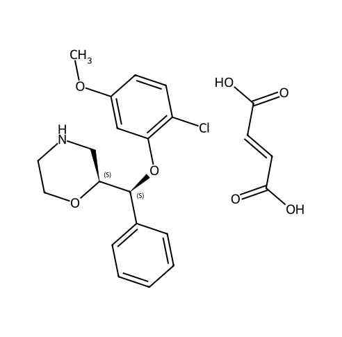 COc1ccc(Cl)c(O[C@@H](c2ccccc2)[C@@H]2CNCCO2)c1.O=C(O)C=CC(=O)O